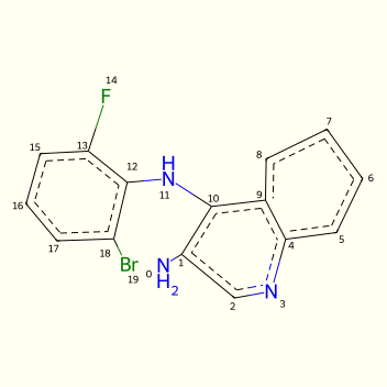 Nc1cnc2ccccc2c1Nc1c(F)cccc1Br